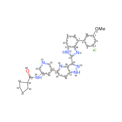 COc1cc(F)cc(-c2cccc3[nH]c(-c4n[nH]c5ccc(-c6cncc(NC(=O)C7CCCC7)c6)nc45)nc23)c1